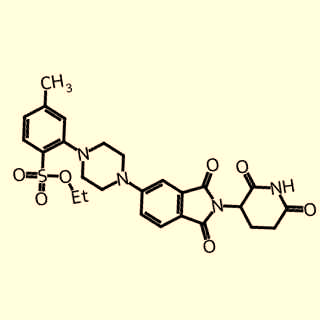 CCOS(=O)(=O)c1ccc(C)cc1N1CCN(c2ccc3c(c2)C(=O)N(C2CCC(=O)NC2=O)C3=O)CC1